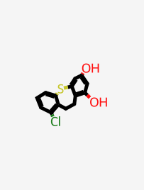 Oc1cc(O)c2c(c1)Sc1cccc(Cl)c1CC2